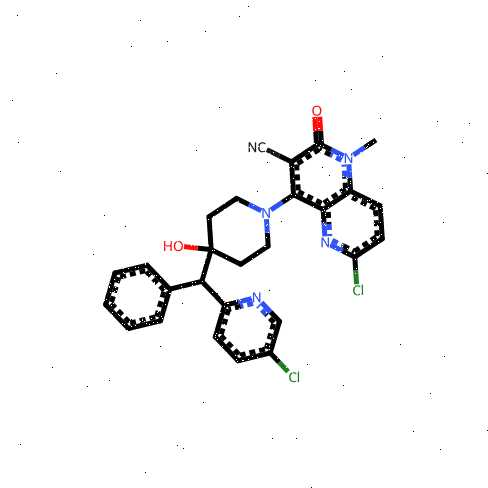 Cn1c(=O)c(C#N)c(N2CCC(O)(C(c3ccccc3)c3ccc(Cl)cn3)CC2)c2nc(Cl)ccc21